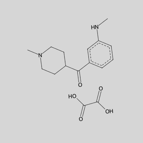 CNc1cccc(C(=O)C2CCN(C)CC2)c1.O=C(O)C(=O)O